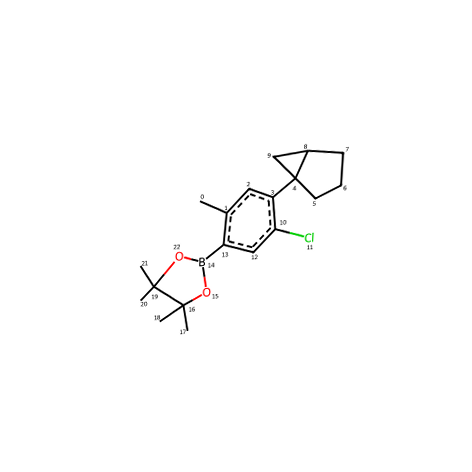 Cc1cc(C23CCCC2C3)c(Cl)cc1B1OC(C)(C)C(C)(C)O1